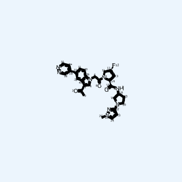 CC(=O)c1cn(CC(=O)N2C[C@H](F)C[C@H]2C(=O)NC2CCN(c3ccn(C)n3)C2)c2ccc(-c3ccnnc3)cc12